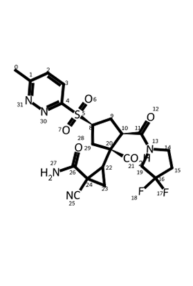 Cc1ccc(S(=O)(=O)[C@H]2C[C@@H](C(=O)N3CCC(F)(F)C3)[C@](C(=O)O)(C3CC3(C#N)C(N)=O)C2)nn1